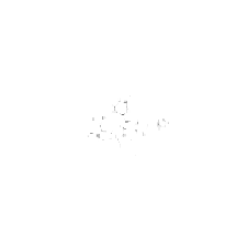 BC1=C(OCC(=C)[C@H](CCCCBC#N)NC(=C)c2cccc(F)n2)C(P)=CCC1